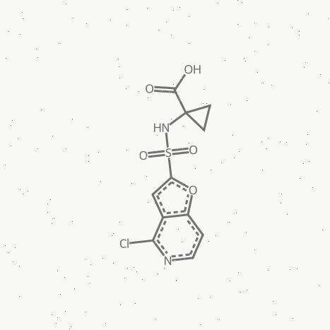 O=C(O)C1(NS(=O)(=O)c2cc3c(Cl)nccc3o2)CC1